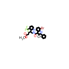 COC(=O)CCC(CNC(=O)c1c(C)c(-c2ccccc2)nc2c(Br)cccc12)c1ccccc1C(F)(F)F